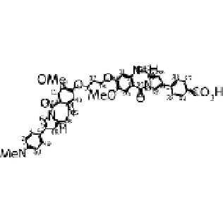 CNc1ccc(C2=CN3C(=O)c4cc(OC)c(OCCCOc5cc6c(cc5OC)C(=O)N5C=C(c7ccc(C(=O)O)cc7)C[C@H]5C=N6)cc4N=C[C@@H]3C2)cc1